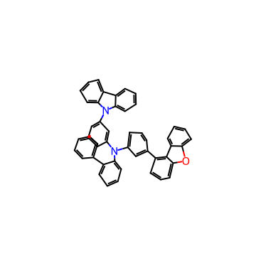 c1ccc(-c2ccccc2N(c2cccc(-c3cccc4oc5ccccc5c34)c2)c2cccc(-n3c4ccccc4c4ccccc43)c2)cc1